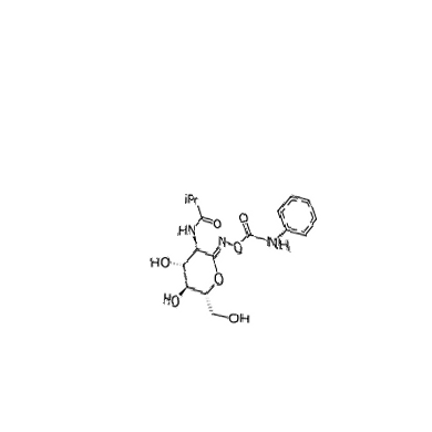 CC(C)C(=O)N[C@H]1C(=NOC(=O)Nc2ccccc2)O[C@H](CO)[C@@H](O)[C@@H]1O